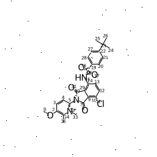 COc1ccc(N2C(=O)c3c(Cl)ccc(NS(=O)(=O)c4ccc(C(C)(C)C)cc4)c3C2=O)[n+](C)c1C